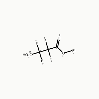 CC(C)OC(=O)C(F)(F)C(F)(F)C(=O)O